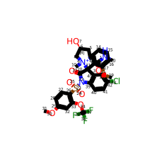 CNC(=O)[C@@H]1C[C@@H](O)C[N+]1(C)C1(c2ccccc2SC)C(=O)N(S(=O)(=O)c2ccc(OC)cc2OC(F)(F)F)c2ccc(Cl)cc21